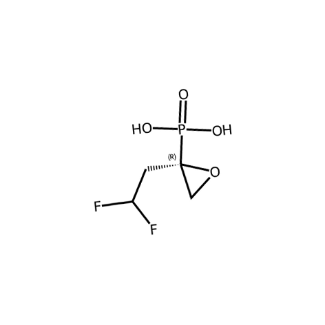 O=P(O)(O)[C@]1(CC(F)F)CO1